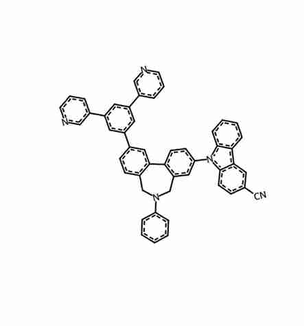 N#Cc1ccc2c(c1)c1ccccc1n2-c1ccc2c(c1)CN(c1ccccc1)Cc1ccc(-c3cc(-c4cccnc4)cc(-c4cccnc4)c3)cc1-2